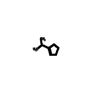 CN(C)C1=CCCC1